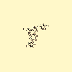 Cc1nc(Cn2cc3c(n2)c(N)nc2cc(-c4cc[nH]n4)ccc23)no1